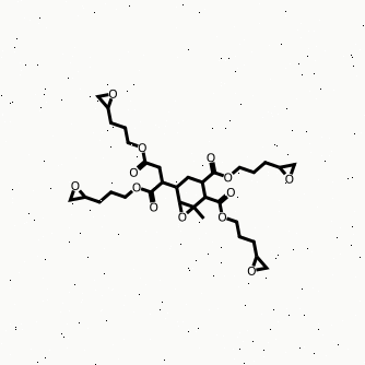 CC12OC1C(C(CC(=O)OCCCC1CO1)C(=O)OCCCC1CO1)CC(C(=O)OCCCC1CO1)C2C(=O)OCCCC1CO1